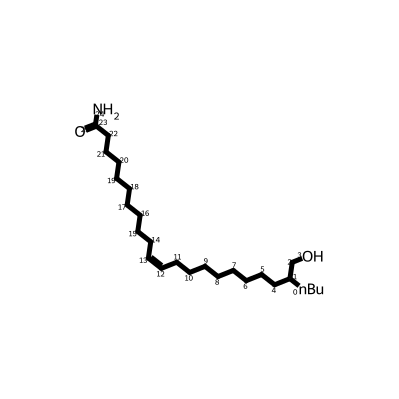 CCCCC(CO)CCCCCCCC/C=C\CCCCCCCCCC(N)=O